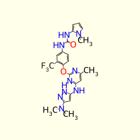 Cc1cc(Nc2cc(N(C)C)n[nH]2)nc(Oc2ccc(NC(=O)Nc3cccn3C)cc2C(F)(F)F)n1